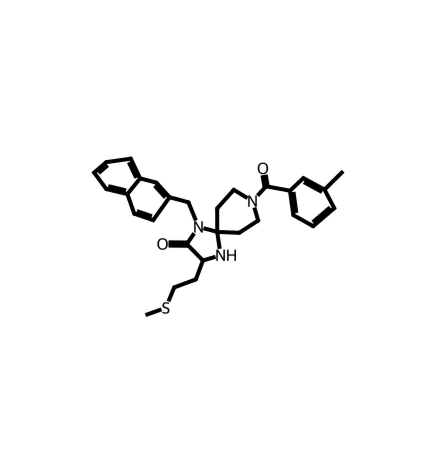 CSCCC1NC2(CCN(C(=O)c3cccc(C)c3)CC2)N(Cc2ccc3ccccc3c2)C1=O